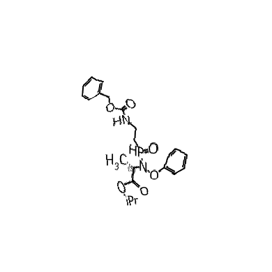 CC(C)OC(=O)[C@H](C)N(Oc1ccccc1)[PH](=O)CCNC(=O)OCc1ccccc1